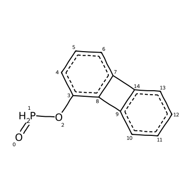 O=[PH2]Oc1cccc2c1-c1ccccc1-2